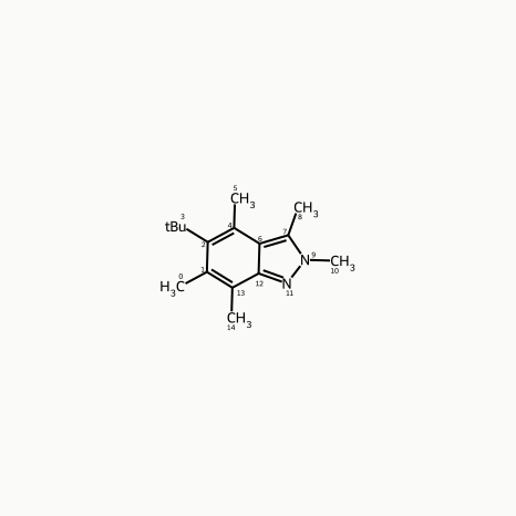 Cc1c(C(C)(C)C)c(C)c2c(C)n(C)nc2c1C